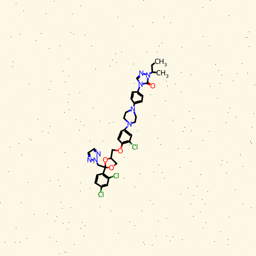 CCC(C)n1ncn(-c2ccc(N3CCN(c4ccc(OCC5COC(Cn6nccn6)(c6ccc(Cl)cc6Cl)O5)c(Cl)c4)CC3)cc2)c1=O